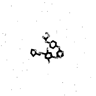 CC(C)OC(=O)ON1CCC(Oc2cc(Nc3cc(F)c(NCC4CCCO4)cc3F)ncn2)CC1